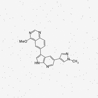 COc1ncnc2ccc(-c3c[nH]c4ncc(-c5cnn(C)c5)cc34)cc12